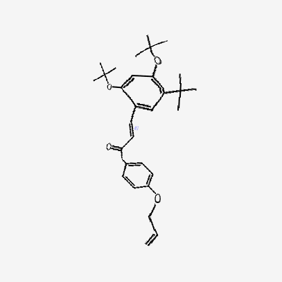 C=CCOc1ccc(C(=O)/C=C/c2cc(C(C)(C)C)c(OC(C)(C)C)cc2OC(C)(C)C)cc1